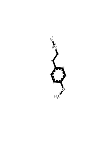 COc1ccc(C[CH2][Mg][Br])cc1